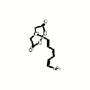 CCC\C=C/C=C\C=C\[B-]12OC(=O)C[C+]1CC(=O)O2